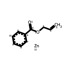 C=CCOC(=O)c1ccccc1.[Zn]